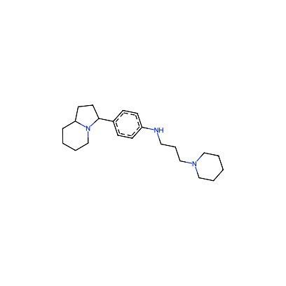 c1cc(C2CCC3CCCCN32)ccc1NCCCN1CCCCC1